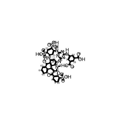 Cn1c(=O)c(C(=O)c2cccc(S(=O)(=O)O)c2)c2c3c(c(NC4C=C(Nc5nc(N)nc(Nc6cc(C(=O)O)cc(C(=O)O)c6)n5)C(S(=O)(=O)O)=CC4S(=O)(=O)O)ccc31)C(=O)c1ccccc1-2